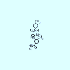 Cc1ccc(C(=O)NC2CC2)cc1-n1ncc(C(=O)NC2CCC(C)CC2)c1N